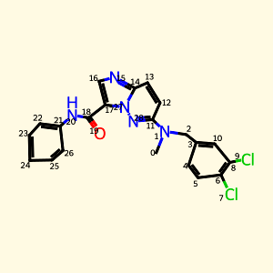 CN(Cc1ccc(Cl)c(Cl)c1)c1ccc2ncc(C(=O)Nc3ccccc3)n2n1